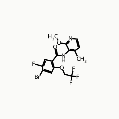 COc1nccc(C)c1NC(=O)c1cc(F)c(Br)cc1OCC(F)(F)F